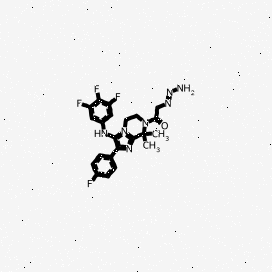 CC1(C)c2nc(-c3ccc(F)cc3)c(Nc3cc(F)c(F)c(F)c3)n2CCN1C(=O)CN=NN